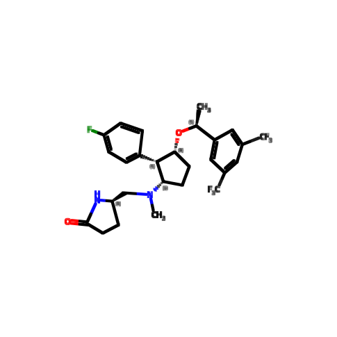 C[C@H](O[C@@H]1CC[C@H](N(C)C[C@H]2CCC(=O)N2)[C@@H]1c1ccc(F)cc1)c1cc(C(F)(F)F)cc(C(F)(F)F)c1